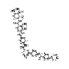 COc1c(NC(=O)c2ccc(NC(=O)c3ccc(NC(=O)C(CC#N)NC(=O)c4ccc(NC(=O)c5ccc(N6CCOCC6)cc5)cc4)cc3)c(OC)c2O)ccc(C(=O)O)c1O